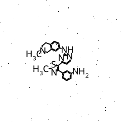 Cc1nc(-c2cccc(N)c2)c(-c2ccnc(Nc3ccc4c(c3)CN(C)CC4)n2)s1